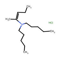 CCC=C(C)N(CCCCC)CCCCC.Cl